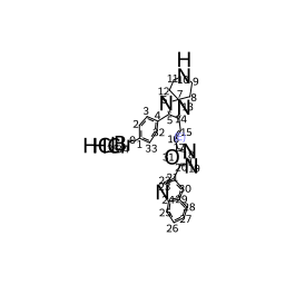 Brc1ccc(C2=NC3(CCNCC3)N=C2/C=C/c2nnc(-c3cnc4ccccc4c3)o2)cc1.Cl.Cl